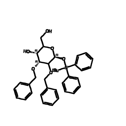 CC(C)(C)[Si](O[C@@H]1OC(CO)[C@@H](O)[C@@H](OCc2ccccc2)C1OCc1ccccc1)(c1ccccc1)c1ccccc1